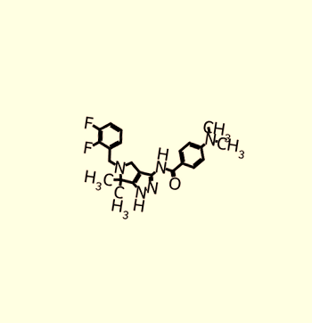 CN(C)c1ccc(C(=O)Nc2n[nH]c3c2CN(Cc2cccc(F)c2F)C3(C)C)cc1